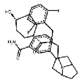 NC(=O)c1cccc(C2CC3CCC(C2)N3CCN(Cc2c(F)cccc2F)C(=O)[C@H]2CC[C@H](O)CC2)c1